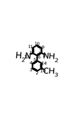 Cc1cccc(-c2c(N)cccc2N)c1